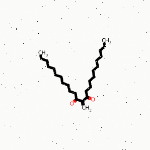 C=C(C(=O)CCCCCCCCCCC)C(=O)CCCCCCCCCCC